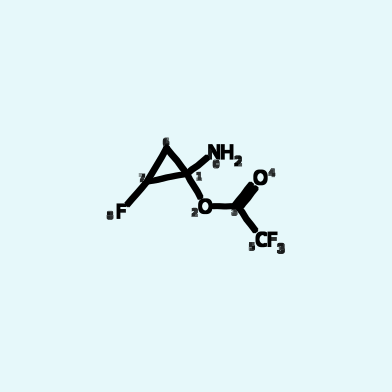 NC1(OC(=O)C(F)(F)F)CC1F